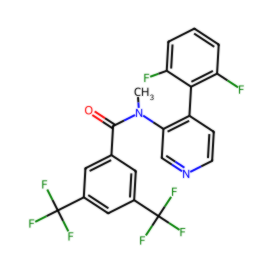 CN(C(=O)c1cc(C(F)(F)F)cc(C(F)(F)F)c1)c1cnccc1-c1c(F)cccc1F